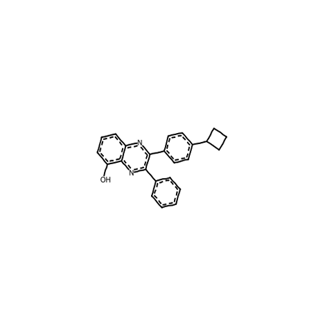 Oc1cccc2nc(-c3ccc([C]4CCC4)cc3)c(-c3ccccc3)nc12